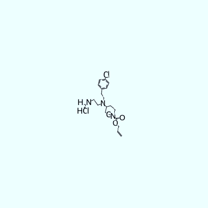 C=CCOC(=O)N1CCC(N(CCN)CCc2ccc(Cl)cc2)CC1.Cl